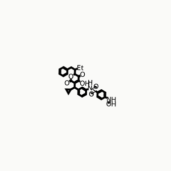 CCC(Cc1ccccc1)C1OC(=O)C(C(c2cccc(NS(=O)(=O)c3ccc(NO)cc3)c2)C2CC2)=C(O)C1=O